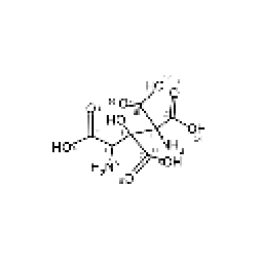 NC(C(=O)O)C(O)(C(=O)O)C(N)(C(=O)O)C(=O)O